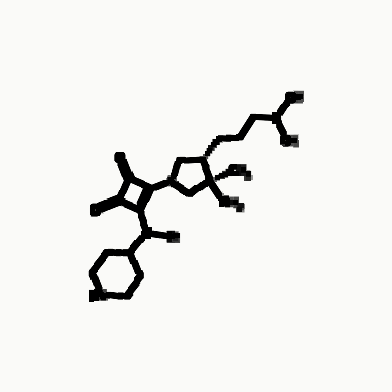 CCN(c1c(N2C[C@H](CCCB(O)O)[C@@](C)(N)C2)c(=O)c1=O)C1CCNCC1